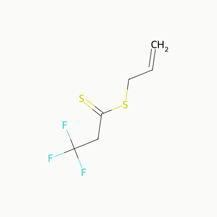 C=CCSC(=S)CC(F)(F)F